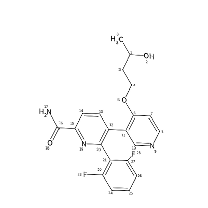 CC(O)CCOc1ccncc1-c1ccc(C(N)=O)nc1-c1c(F)cccc1F